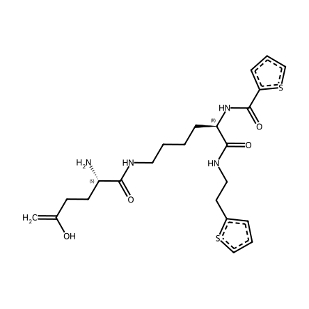 C=C(O)CC[C@H](N)C(=O)NCCCC[C@@H](NC(=O)c1cccs1)C(=O)NCCc1cccs1